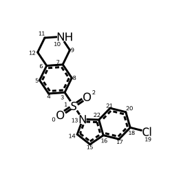 O=S(=O)(c1ccc2c(c1)CNCC2)n1ccc2cc(Cl)ccc21